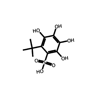 CC(C)(C)c1c(O)c(O)c(O)c(O)c1S(=O)(=O)O